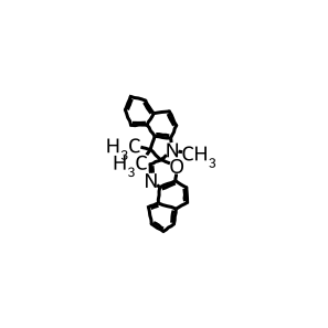 CN1c2ccc3ccccc3c2C(C)(C)C12C=Nc1c(ccc3ccccc13)O2